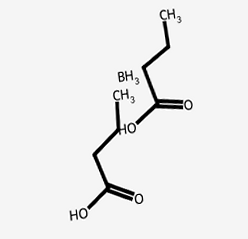 B.CCCC(=O)O.CCCC(=O)O